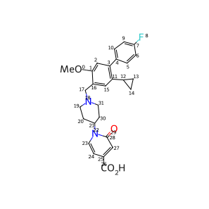 COc1cc(-c2ccc(F)cc2)c(C2CC2)cc1CN1CCC(n2ccc(C(=O)O)cc2=O)CC1